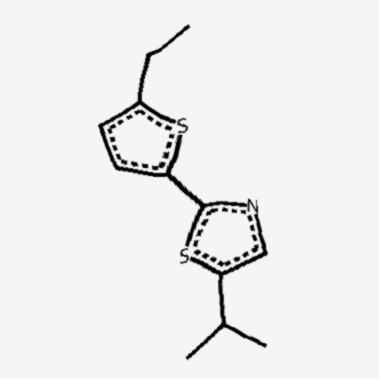 CCc1ccc(-c2ncc(C(C)C)s2)s1